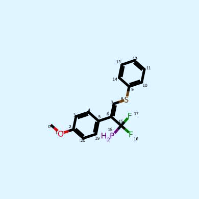 COc1ccc(/C(=C/Sc2ccccc2)C(F)(F)P)cc1